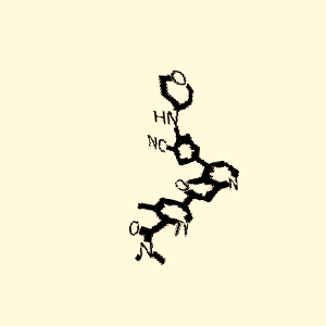 Cc1cc(-c2cc3nccc(-c4ccc(NC5CCOCC5)c(C#N)c4)c3o2)cnc1C(=O)N(C)C